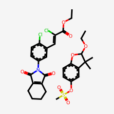 CCOC(=O)/C(Cl)=C/c1cc(N2C(=O)C3=C(CCCC3)C2=O)ccc1Cl.CCOC1Oc2ccc(OS(C)(=O)=O)cc2C1(C)C